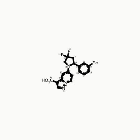 O=C(O)c1cnn2ccc(N3CC(F)(F)CC3c3cccc(F)c3)cc12